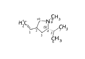 C=CC1C[C@@H](C(C)C)N(C)C1